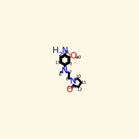 COc1cc(N(C)CCN2CCCC2=O)ccc1N